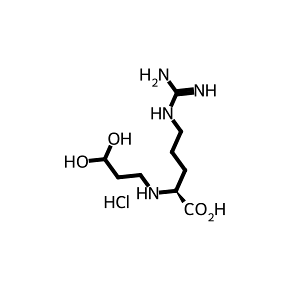 Cl.N=C(N)NCCC[C@H](NCCC(O)O)C(=O)O